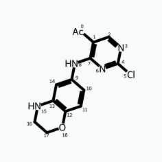 CC(=O)c1cnc(Cl)nc1Nc1ccc2c(c1)NCCO2